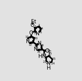 CCOc1cccnc1Oc1cncc(-c2ncc(C(=O)N[C@H]3CNCC[C@@H]3F)cn2)c1